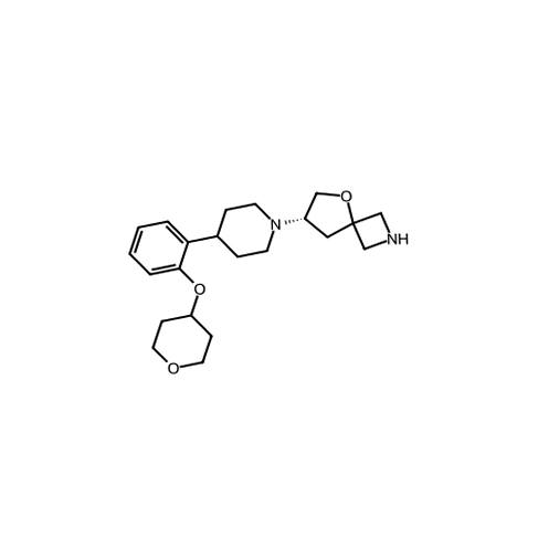 c1ccc(C2CCN([C@@H]3COC4(CNC4)C3)CC2)c(OC2CCOCC2)c1